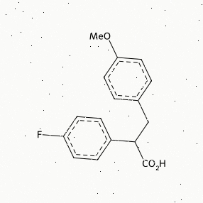 COc1ccc(CC(C(=O)O)c2ccc(F)cc2)cc1